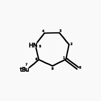 C=C1CCCNC(C(C)(C)C)C1